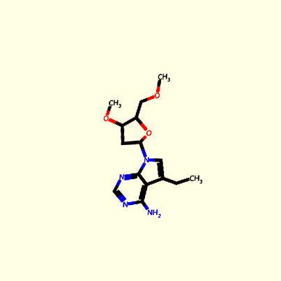 CCc1cn(C2CC(OC)C(COC)O2)c2ncnc(N)c12